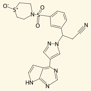 N#CCC(c1cccc(S(=O)(=O)N2CC[S+]([O-])CC2)c1)n1cc(-c2ncnc3[nH]ccc23)cn1